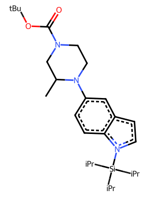 CC1CN(C(=O)OC(C)(C)C)CCN1c1ccc2c(ccn2[Si](C(C)C)(C(C)C)C(C)C)c1